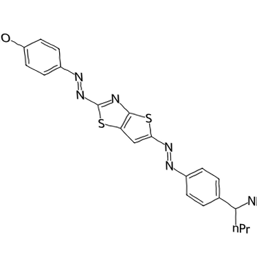 CCCC(N)c1ccc(N=Nc2cc3sc(N=Nc4ccc(O)cc4)nc3s2)cc1